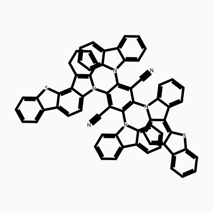 N#Cc1c(-n2c3c(c4c5sc6ccccc6c5ccc42)CCC=C3)c(-n2c3ccccc3c3ccccc32)c(C#N)c(-n2c3ccccc3c3c4sc5ccccc5c4ccc32)c1-n1c2ccccc2c2ccccc21